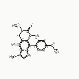 Cn1cnc2c(-c3ccc(OC(F)(F)F)cc3)cc(CN(C(=O)O)C(=O)OC(C)(C)C)c(Br)c21